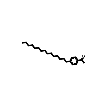 CCCCCCCCCCCCCCCc1ccc(C(C)=O)cc1